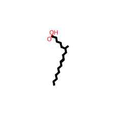 CCCCCCCC=CCCC(C)CCCCC(=O)O